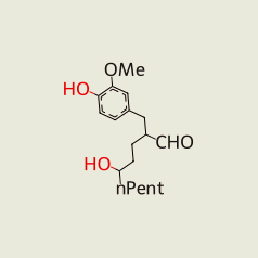 CCCCCC(O)CCC(C=O)Cc1ccc(O)c(OC)c1